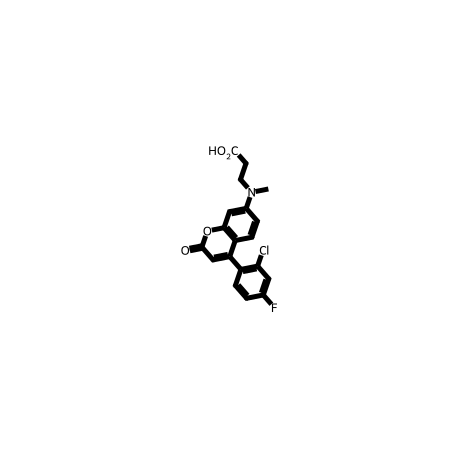 CN(CCC(=O)O)c1ccc2c(-c3ccc(F)cc3Cl)cc(=O)oc2c1